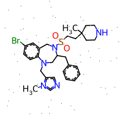 Cn1cncc1CN1CC(Cc2ccccc2)N(S(=O)(=O)CCC2(C)CCNCC2)Cc2cc(Br)ccc21